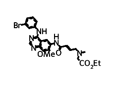 CCOC(=O)CN(C)CC=CC(=O)Nc1cc2c(Nc3cccc(Br)c3)ncnc2cc1OC